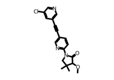 COC1C(=O)N(c2ccc(C#Cc3cncc(Cl)c3)cn2)CC1(C)C